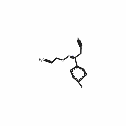 C=CCO/N=C(/CC#N)c1ccc(F)cc1